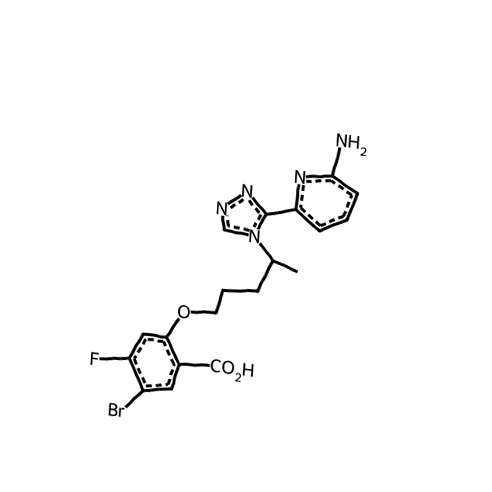 CC(CCCOc1cc(F)c(Br)cc1C(=O)O)n1cnnc1-c1cccc(N)n1